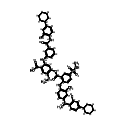 CNS(=O)(=O)c1ccc(Nc2ccc(N(C)c3ccc(C4CCCCC4)cc3Cl)cc2C)c(C(=O)Oc2cc(Nc3cccc(C(=O)Nc4ccc(C5CCCCC5)cc4Cl)c3)c(C(=O)O)cc2OC)c1